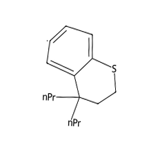 CCCC1(CCC)CCSc2cc[c]cc21